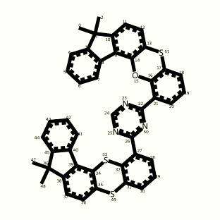 CC1(C)c2ccccc2-c2c1ccc1c2Oc2c(cccc2-c2ncnc(-c3cccc4c3Sc3c(ccc5c3-c3ccccc3C5(C)C)S4)n2)S1